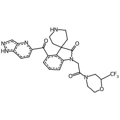 O=C(c1ccc2[nH]ncc2n1)c1cccc2c1C1(CCNCC1)C(=O)N2CC(=O)N1CCOC(C(F)(F)F)C1